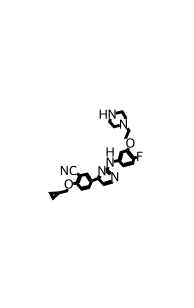 N#Cc1cc(-c2ccnc(Nc3ccc(F)c(OCCN4CCNCC4)c3)n2)ccc1OCC1CC1